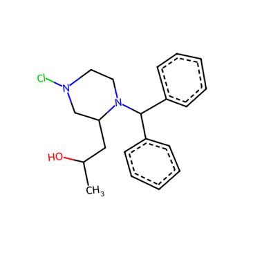 CC(O)CC1CN(Cl)CCN1C(c1ccccc1)c1ccccc1